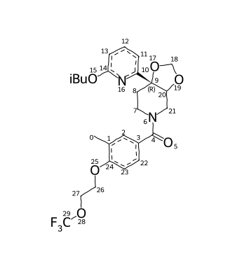 Cc1cc(C(=O)N2CC[C@]3(c4cccc(OCC(C)C)n4)OCOC3C2)ccc1OCCOC(F)(F)F